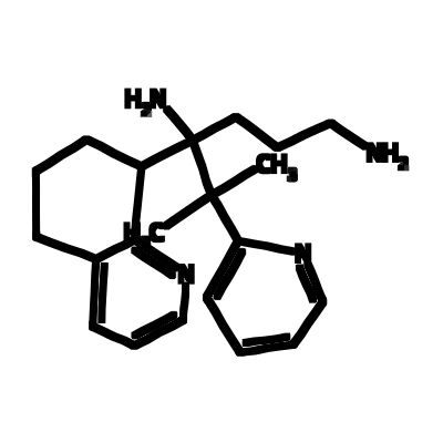 CC(C)(c1ccccn1)C(N)(CCCN)C1CCCc2cccnc21